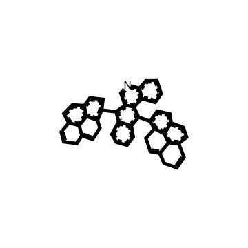 C1=Cc2ccc3ccc(-c4c5ccccc5c(-c5ccc6ccc7c8c6c5CC=C8CC=C7)c5c4cnc4ccccc45)c4c3c2C(=CC4)C1